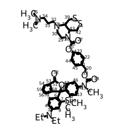 CCN(CC)c1ccc2c(c1)[Si](C)(C)c1cc(N(C)C(=O)OCc3ccc(OC(=O)N4CCN(CCCN(C)C)C5CSSCC54)cc3)ccc1C21OC(=O)c2ccccc21